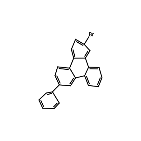 Brc1ccc2c3ccc(-c4ccccc4)cc3c3ccccc3c2c1